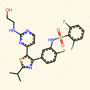 CC(C)c1nc(-c2ccc(F)c(NS(=O)(=O)c3c(F)cccc3F)c2)c(-c2ccnc(NCCO)n2)s1